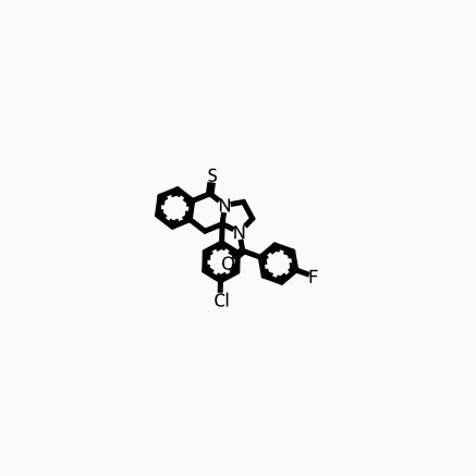 O=C(c1ccc(F)cc1)N1CCN2C(=S)c3ccccc3CC12c1ccc(Cl)cc1